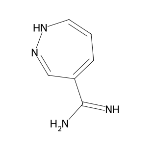 N=C(N)C1=CC=CNN=C1